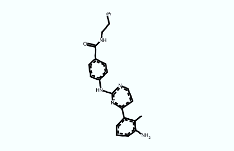 Cc1c(N)cccc1-c1ccnc(Nc2ccc(C(=O)NCCC(C)C)cc2)n1